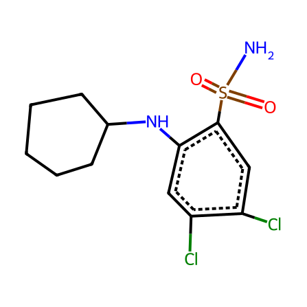 NS(=O)(=O)c1cc(Cl)c(Cl)cc1NC1CCCCC1